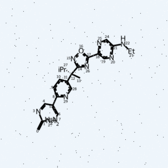 C=C(N)/N=C\C(=C/N)c1ccc([C@](C)(c2noc(-c3cnc(NCC)cn3)n2)C(C)C)cn1